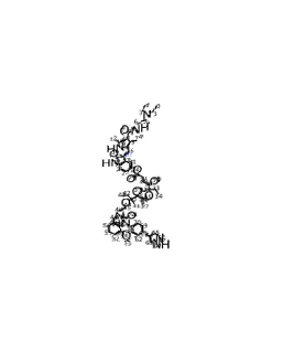 CCN(CC)CCNC(=O)c1c(C)[nH]c(/C=C2\C(=O)Nc3ccc(OC(=O)CCC(=O)C(C)(CC)O[C@@H](C)C(=O)C(C)(CC)OCCN(Cc4cccc(OC)c4)C(=O)Nc4ccc(-c5cn[nH]c5)cc4)cc32)c1C